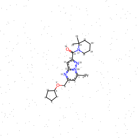 CC(C)c1cc(COC2CCCC2)nc2cc(C(=O)N3CCCCC3(C)C)nn12